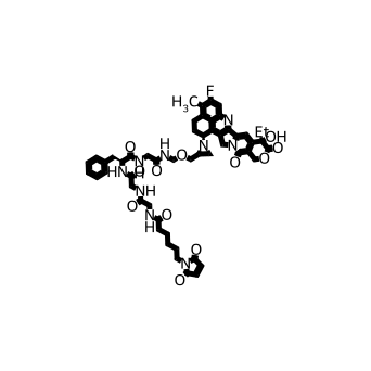 CC[C@@]1(O)C(=O)OCc2c1cc1n(c2=O)Cc2c-1nc1cc(F)c(C)c3c1c2[C@@H](N1CC1COCNC(=O)CNC(=O)[C@H](Cc1ccccc1)NC(=O)CNC(=O)CNC(=O)CCCCCN1C(=O)C=CC1=O)CC3